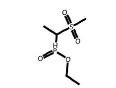 CCO[PH](=O)C(C)S(C)(=O)=O